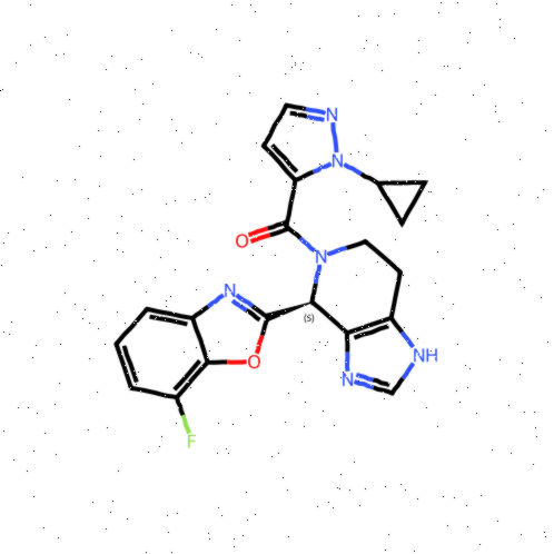 O=C(c1ccnn1C1CC1)N1CCc2[nH]cnc2[C@H]1c1nc2cccc(F)c2o1